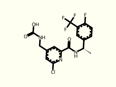 C[C@H](NC(=O)c1cc(CNC(=O)O)cc(Cl)n1)c1ccc(F)c(C(F)(F)F)c1